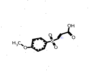 COc1ccc(S(=O)(=O)/C=C/C(=O)O)cc1